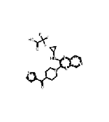 O=C(O)C(F)(F)F.O=C(c1ccsc1)C1CCN(c2nc3cnccc3nc2NC2CC2)CC1